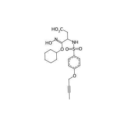 CC#CCOc1ccc(S(=O)(=O)NC(CC(=O)O)C(=NO)OC2CCCCC2)cc1